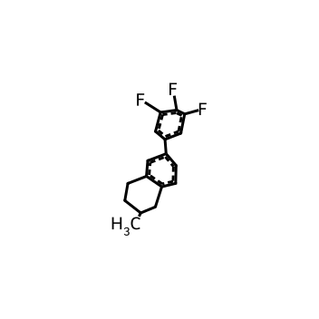 CC1CCc2cc(-c3cc(F)c(F)c(F)c3)ccc2C1